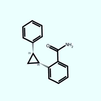 NC(=O)c1ccccc1[C@@H]1C[C@@H]1c1ccccc1